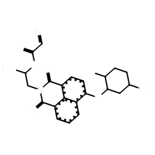 C=CC(=O)OC(C)CN1C(=O)c2cccc3c(OC4CC(C)CCC4C(C)C)ccc(c23)C1=O